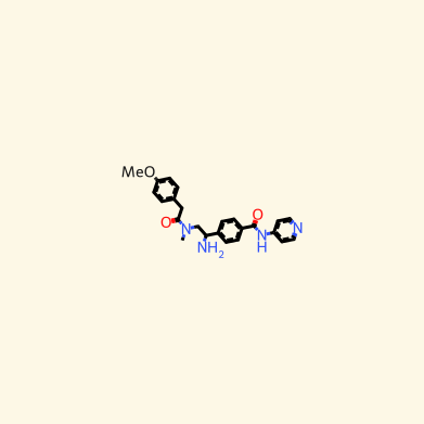 COc1ccc(CC(=O)N(C)CC(N)c2ccc(C(=O)Nc3ccncc3)cc2)cc1